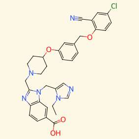 CCn1cncc1Cn1c(CN2CCC(Oc3cccc(COc4ccc(Cl)cc4C#N)c3)CC2)nc2ccc(C(=O)O)cc21